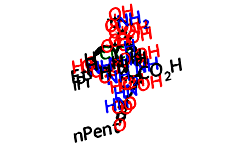 CCCCCOc1ccc(S(=O)(=O)NC(=O)CCNCc2c(O)cc3c(c2O)-c2cc(ccc2O)[C@H]2CC(=O)[C@@H]4NC(=O)[C@H](CC(N)=O)CC(=O)[C@H](NC(=O)[C@H](CC)CC(C)C)[C@H](O)c5ccc(c(Cl)c5)Oc5cc4cc(c5O[C@@H]4O[C@H](CO)[C@@H](O)[C@H](O)[C@H]4O[C@H]4C[C@](C)(N)[C@H](O)[C@H](C)O4)Oc4ccc(cc4Cl)[C@@H](O)[C@H](NC2=O)C(=O)N[C@@H]3C(=O)O)cc1